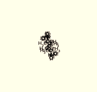 Cc1cc(-c2nc3ccccc3n2-c2ccccc2)cc2c1-c1cc3c(cc1C2(C)C)-c1c(C)cc(-c2nc4ccccc4n2-c2ccccc2)cc1C3(C)C